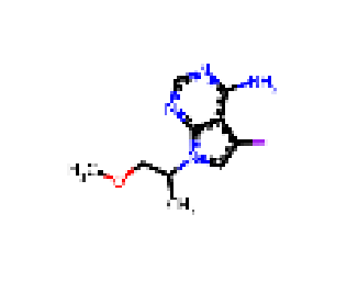 COCC(C)n1cc(I)c2c(N)ncnc21